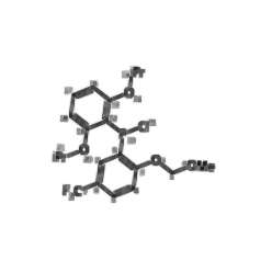 COCOc1ccc(C(F)(F)F)cc1P(Cl)c1c(OC(C)C)cccc1OC(C)C